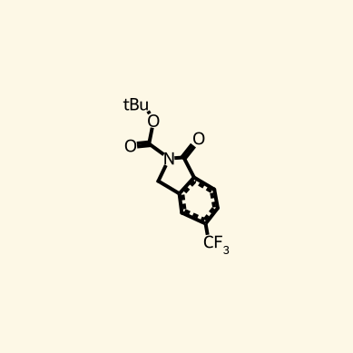 CC(C)(C)OC(=O)N1Cc2cc(C(F)(F)F)ccc2C1=O